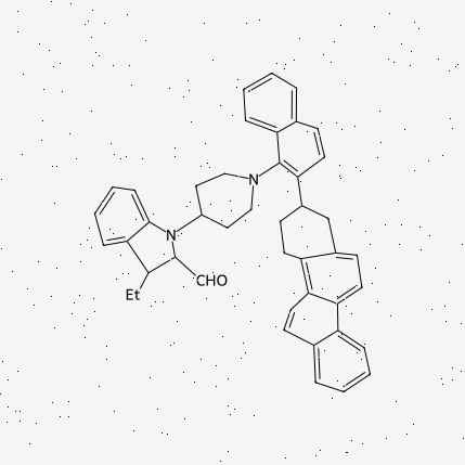 CCC1c2ccccc2N(C2CCN(c3c(C4CCc5c(ccc6c5ccc5ccccc56)C4)ccc4ccccc34)CC2)C1C=O